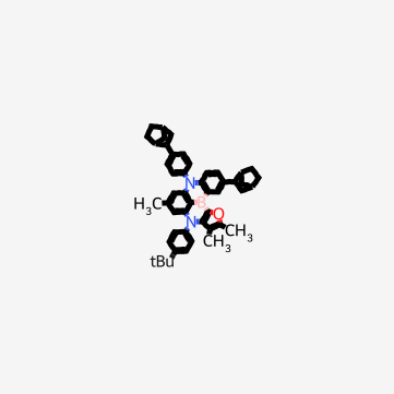 Cc1cc2c3c(c1)N(c1ccc(C(C)(C)C)cc1)c1c(oc(C)c1C)B3c1cc(C3CC4CCC3C4)ccc1N2c1ccc(C2CC3CCC2C3)cc1